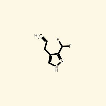 C=CCc1c[nH]nc1C(F)F